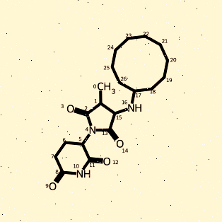 CC1C(=O)N(C2CCC(=O)NC2=O)C(=O)C1NC1CCCCCCCCC1